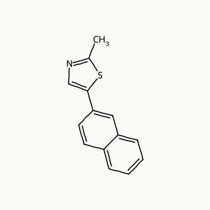 Cc1ncc(-c2ccc3ccccc3c2)s1